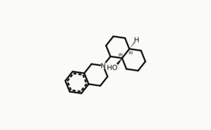 O[C@]12CCCC[C@@H]1CCCC2N1CCc2ccccc2C1